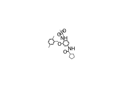 Cc1ccc(C)c(COc2cc(NC(=O)C3CCCC3)ccc2NCS(C)(=O)=O)c1